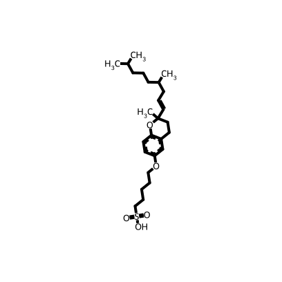 CC(C)CCCC(C)C/C=C/C1(C)CCc2cc(OCCCCCS(=O)(=O)O)ccc2O1